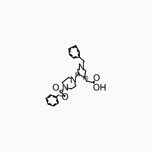 O=C(O)C[C@@H]1CN(Cc2ccccc2)C[C@@H]1N1CCN(S(=O)(=O)c2ccccc2)CC1